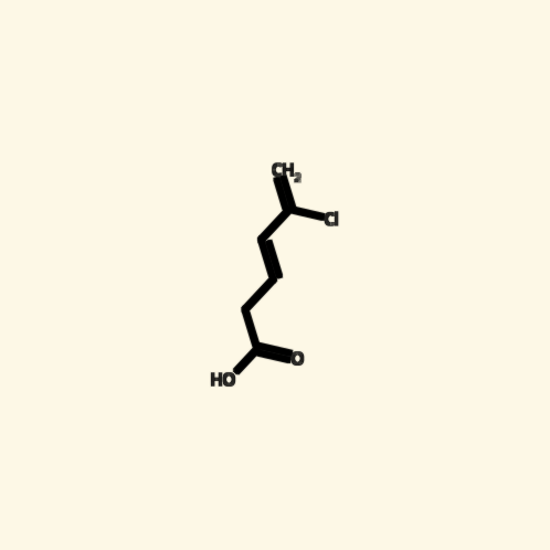 C=C(Cl)C=CCC(=O)O